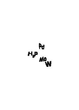 P.[Mo].[Pd].[W]